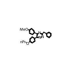 CCCOc1ccc(-c2nnc(Cc3ccccc3)nc2-c2ccc(OC)cc2)cc1